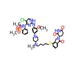 COc1cc(N2CCC(N(C)CCCCCSc3cccc4c3CN(C3CCC(=O)NC3=O)C4=O)CC2)ccc1Nc1ncc(Cl)c(Nc2ccccc2P(=O)(OC)OC)n1